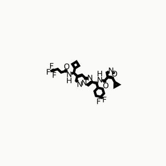 O=C(CCC(F)(F)F)NC(c1cnn2cc([C@@H](NC(=O)c3cnoc3C3CC3)C3CCC(F)(F)CC3)nc2c1)C1CCC1